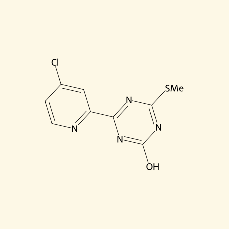 CSc1nc(O)nc(-c2cc(Cl)ccn2)n1